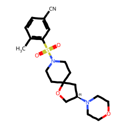 Cc1ccc(C#N)cc1S(=O)(=O)N1CCC2(CC1)C[C@@H](N1CCOCC1)CO2